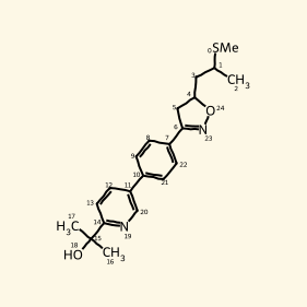 CSC(C)CC1CC(c2ccc(-c3ccc(C(C)(C)O)nc3)cc2)=NO1